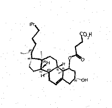 CC(C)CCC[C@@H](C)[C@H]1CC[C@H]2[C@@H]3CC=C4C[C@@H](O)CC(OC(=O)CCC(=O)O)[C@]4(C)[C@H]3CC[C@]12C